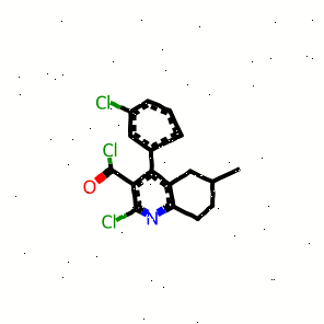 CC1CCc2nc(Cl)c(C(=O)Cl)c(-c3cccc(Cl)c3)c2C1